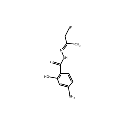 C/C(CC(C)C)=N\NC(=O)c1ccc(N)cc1O